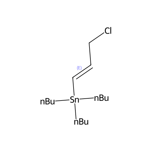 CCC[CH2][Sn](/[CH]=C/CCl)([CH2]CCC)[CH2]CCC